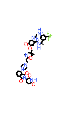 COc1cc2nc(C)nc(N[C@H](C)c3cc(N)cc(C(F)(F)F)c3)c2cc1OCC1(CN(C)C(=O)CCN2CCN(c3cccc4c3C(=O)N(C3CCC(=O)NC3=O)C4=O)CC2)CC1